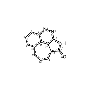 O=c1[nH]c2nnc3cccc4cccc1-c2c43